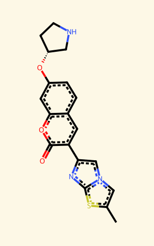 Cc1cn2cc(-c3cc4ccc(O[C@@H]5CCNC5)cc4oc3=O)nc2s1